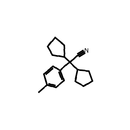 Cc1ccc(C(C#N)(C2CCCC2)C2CCCC2)cc1